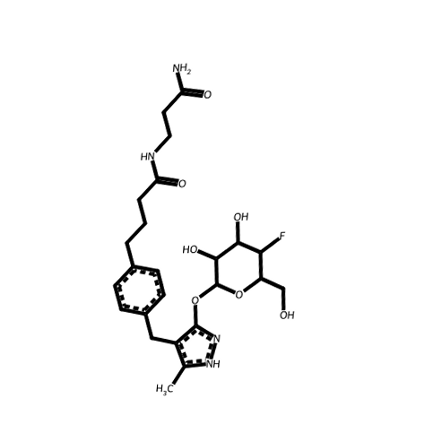 Cc1[nH]nc(OC2OC(CO)C(F)C(O)C2O)c1Cc1ccc(CCCC(=O)NCCC(N)=O)cc1